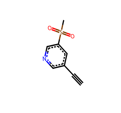 C#Cc1cncc(S(C)(=O)=O)c1